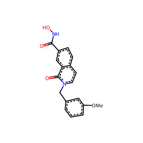 COc1cccc(Cn2ccc3ccc(C(=O)NO)cc3c2=O)c1